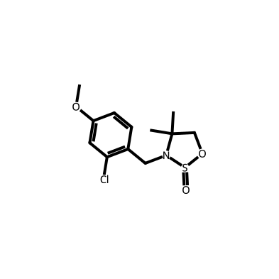 COc1ccc(CN2S(=O)OCC2(C)C)c(Cl)c1